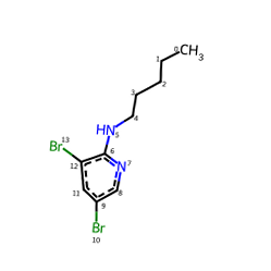 CCCCCNc1ncc(Br)cc1Br